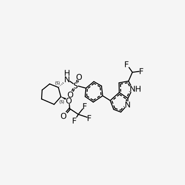 O=C(O[C@H]1CCCC[C@@H]1NS(=O)(=O)c1ccc(-c2ccnc3[nH]c(C(F)F)cc23)cc1)C(F)(F)F